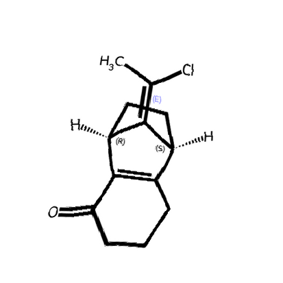 C/C(Cl)=C1\[C@@H]2CC[C@H]1C1=C2C(=O)CCC1